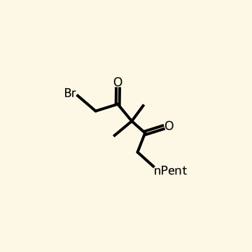 CCCCCCC(=O)C(C)(C)C(=O)CBr